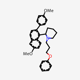 COc1ccc(-c2ccc3cc(OC)ccc3c2C2CCCCN2CCCOc2ccccc2)cc1